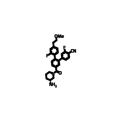 COCCc1ccc(-c2ccc(C(=O)N3CCC[C@@H](N)C3)cc2-c2ccc(C#N)c(F)c2)c(F)c1